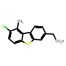 Cc1c(Cl)ccc2sc3cc(CC(=O)O)ccc3c12